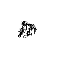 COC(=O)[C@H](CCNC(=O)C(=O)N(C)c1ccccc1)NC(=O)c1ccc(Nc2nc(NC3(c4ccc(Cl)cc4)CC3)nc(OCC(F)(F)F)n2)cc1